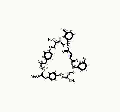 COC(=O)Cc1ccc(OC[C@@H](C)NC[C@H](OC(=O)/C=C/C(=O)O[C@@H](CN[C@H](C)COc2ccc(CC(=O)OC)cc2)c2cccc(Cl)c2)c2cccc(Cl)c2)cc1